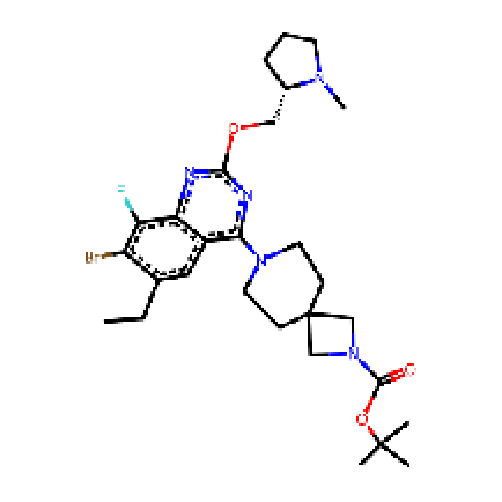 CCc1cc2c(N3CCC4(CC3)CN(C(=O)OC(C)(C)C)C4)nc(OC[C@@H]3CCCN3C)nc2c(F)c1Br